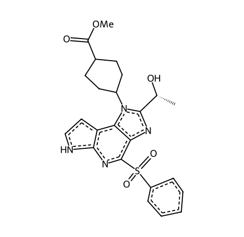 COC(=O)C1CCC(n2c([C@@H](C)O)nc3c(S(=O)(=O)c4ccccc4)nc4[nH]ccc4c32)CC1